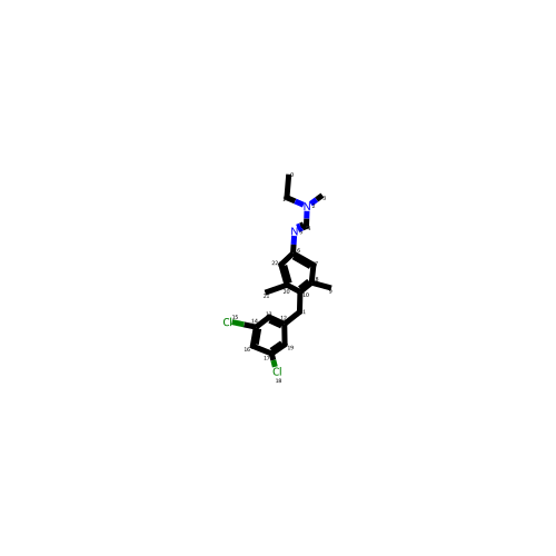 CCN(C)C=Nc1cc(C)c(Cc2cc(Cl)cc(Cl)c2)c(C)c1